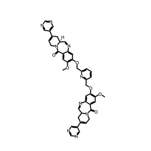 COc1cc2c(cc1OCc1cccc(COc3cc4c(cc3OC)C(=O)N3CC=C(c5cncnc5)C[C@H]3C=N4)n1)N=CC1CC(c3cncnc3)=CCN1C2=O